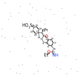 CCCC(C1CCc2cc(CC(=N)OCC)ccc2O1)C1(C)C=CC(S(=O)(=O)O)C=C1